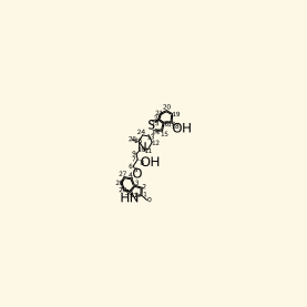 Cc1cc2c(OC[C@@H](O)CN3CC[C@@H](c4cc5c(O)cccc5s4)C[C@@H]3C)cccc2[nH]1